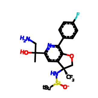 CC(O)(CN)c1cc2c(c(-c3ccc(F)cc3)n1)OC[C@@]2(N[S+]([O-])C(C)(C)C)C(F)(F)F